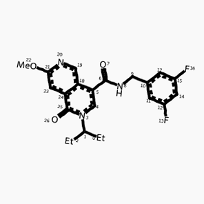 CCC(CC)n1cc(C(=O)NCc2cc(F)cc(F)c2)c2cnc(OC)cc2c1=O